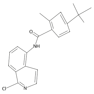 Cc1cc(C(C)(C)C)ccc1C(=O)Nc1cccc2c(Cl)nccc12